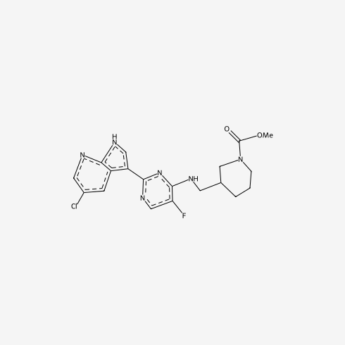 COC(=O)N1CCCC(CNc2nc(-c3c[nH]c4ncc(Cl)cc34)ncc2F)C1